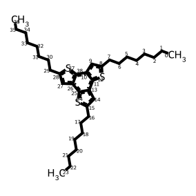 CCCCCCCCc1cc2c(s1)c1cc(CCCCCCCC)sc1c1cc(CCCCCCCC)sc21